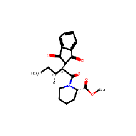 C[C@H](CC(=O)O)[C@H](C(=O)N1CCCC[C@H]1C(=O)OC(C)(C)C)C1C(=O)c2ccccc2C1=O